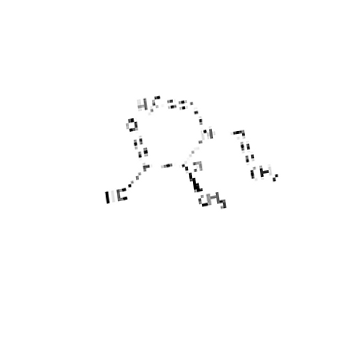 C=CN(C=C)[C@@H](C)C(=O)O